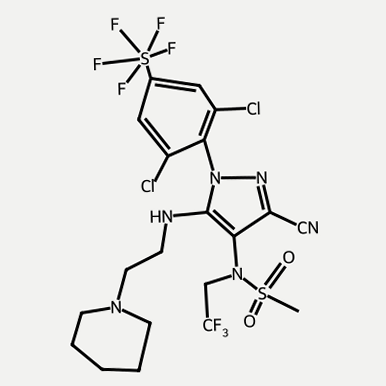 CS(=O)(=O)N(CC(F)(F)F)c1c(C#N)nn(-c2c(Cl)cc(S(F)(F)(F)(F)F)cc2Cl)c1NCCN1CCCCC1